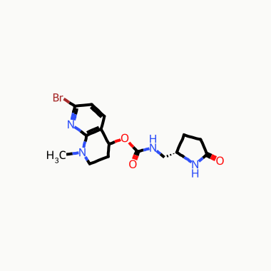 CN1CCC(OC(=O)NC[C@@H]2CCC(=O)N2)c2ccc(Br)nc21